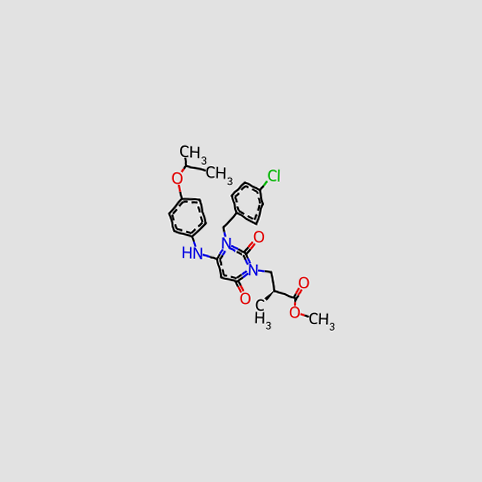 COC(=O)[C@@H](C)Cn1c(=O)cc(Nc2ccc(OC(C)C)cc2)n(Cc2ccc(Cl)cc2)c1=O